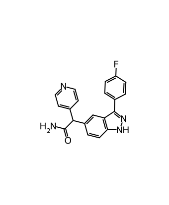 NC(=O)C(c1ccncc1)c1ccc2[nH]nc(-c3ccc(F)cc3)c2c1